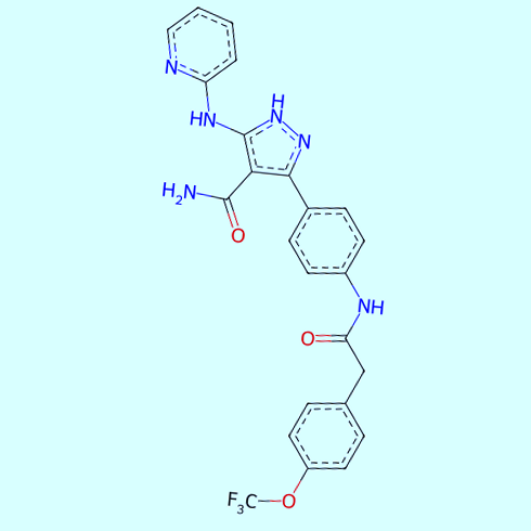 NC(=O)c1c(-c2ccc(NC(=O)Cc3ccc(OC(F)(F)F)cc3)cc2)n[nH]c1Nc1ccccn1